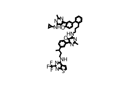 Cc1nc(NCCCc2ccccc2-c2ccc3oc4c(NC5CC5)nc(C)nc4c3c2)c2oc3ccc(C(C)CCNc4nc(C(F)(F)F)nc5sccc45)cc3c2n1